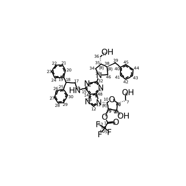 O=C(O[C@@H]1[C@H](O)[C@@H](CO)O[C@H]1n1cnc2c(NCC(c3ccccc3)c3ccccc3)nc(N3C[C@H](CO)[C@@H](Cc4ccccc4)C3)nc21)C(F)(F)F